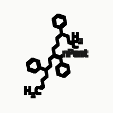 C=CCCC(CCC(CCCC(CC=C)c1ccccc1)=C(CCCCC)c1ccccc1)c1ccccc1